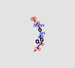 CCOC(=O)CCN(C(=O)c1ccc2c(c1)nc(CNc1ccc(C(=N)NC(=O)OCCS(C)(=O)=O)cc1)n2C)c1ccccc1